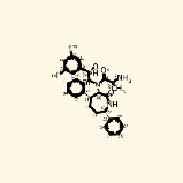 C[C@H](N)C(=O)N(C(=O)[C@@H](O)c1cc(F)cc(F)c1)[C@@H]1C(=O)N[C@H](c2ccccc2)CC[C@@H]1c1ccccc1